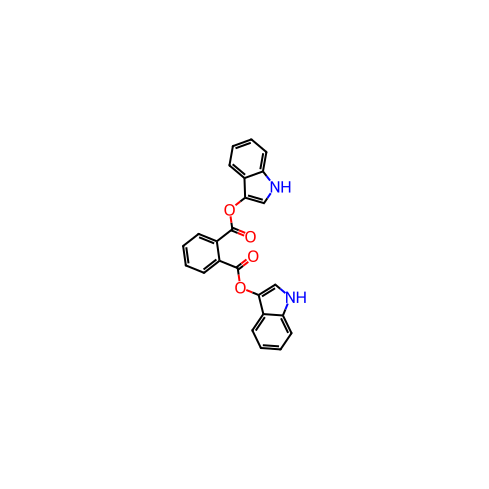 O=C(Oc1c[nH]c2ccccc12)c1ccccc1C(=O)Oc1c[nH]c2ccccc12